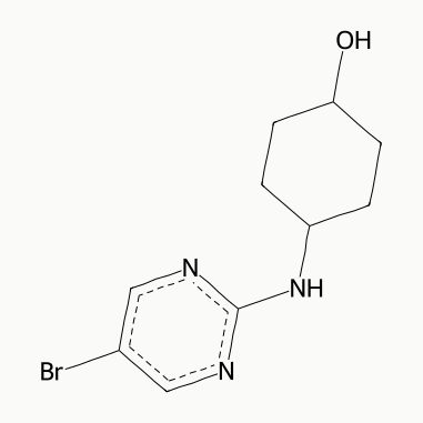 OC1CCC(Nc2ncc(Br)cn2)CC1